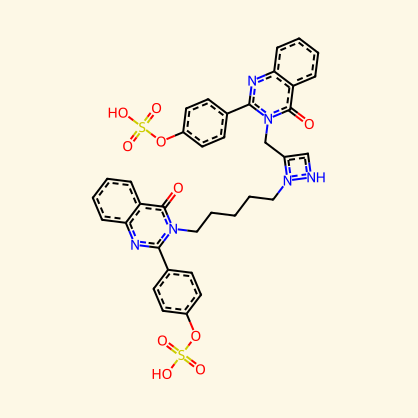 O=c1c2ccccc2nc(-c2ccc(OS(=O)(=O)O)cc2)n1CCCCCn1[nH]cc1Cn1c(-c2ccc(OS(=O)(=O)O)cc2)nc2ccccc2c1=O